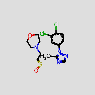 Cc1ncnn1-c1ccc(Cl)c(Cl)c1.O=S=CCN1CCOCC1